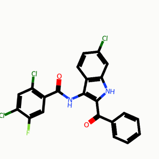 O=C(Nc1c(C(=O)c2ccccc2)[nH]c2cc(Cl)ccc12)c1cc(F)c(Cl)cc1Cl